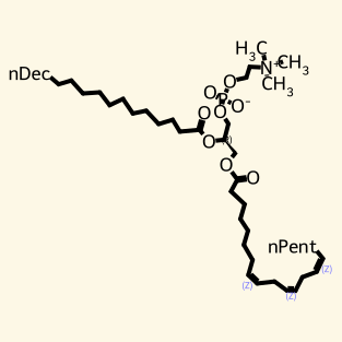 CCCCC/C=C\C/C=C\C/C=C\CCCCCCC(=O)OC[C@H](COP(=O)([O-])OCC[N+](C)(C)C)OC(=O)CCCCCCCCCCCCCCCCCCCCC